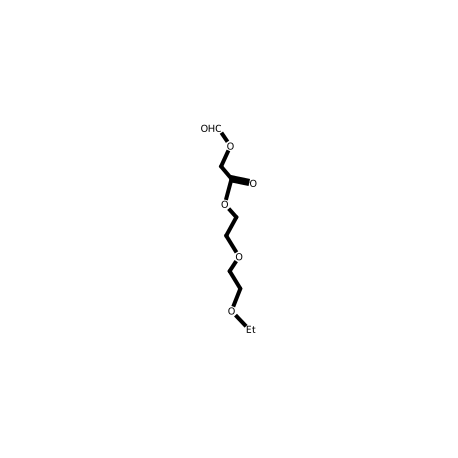 CCOCCOCCOC(=O)COC=O